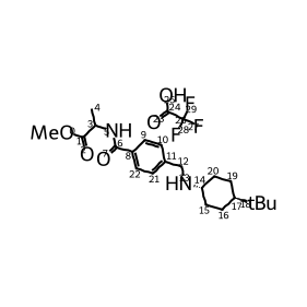 COC(=O)C(C)NC(=O)c1ccc(CN[C@H]2CC[C@H](C(C)(C)C)CC2)cc1.O=C(O)C(F)(F)F